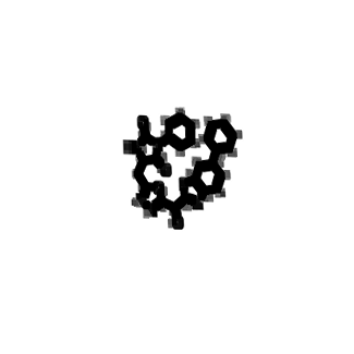 O=C(c1nnc(CC2NC(=O)N(c3ccccc3)C2=O)o1)c1nc2ccc(-c3ccccc3)cc2s1